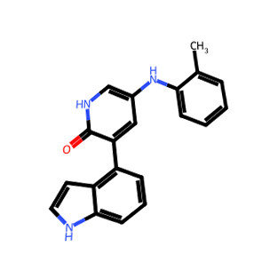 Cc1ccccc1Nc1c[nH]c(=O)c(-c2cccc3[nH]ccc23)c1